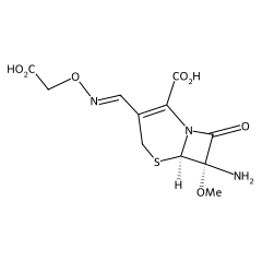 CO[C@@]1(N)C(=O)N2C(C(=O)O)=C(/C=N/OCC(=O)O)CS[C@@H]21